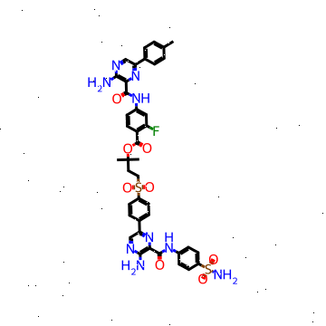 Cc1ccc(-c2cnc(N)c(C(=O)Nc3ccc(C(=O)OC(C)(C)CCS(=O)(=O)c4ccc(-c5cnc(N)c(C(=O)Nc6ccc(S(N)(=O)=O)cc6)n5)cc4)c(F)c3)n2)cc1